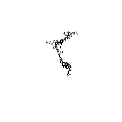 CC(C)CCCC(C)[C@H]1CC[C@H]2[C@@H]3CC=C4C[C@@H](OC(=O)NCCCCNCCCNC(=O)C(CCC(=O)O)NC(=O)c5ccc(N(C)Cc6cnc7nc(N)nc(N)c7n6)cc5)CC[C@]4(C)[C@H]3CC[C@]12C